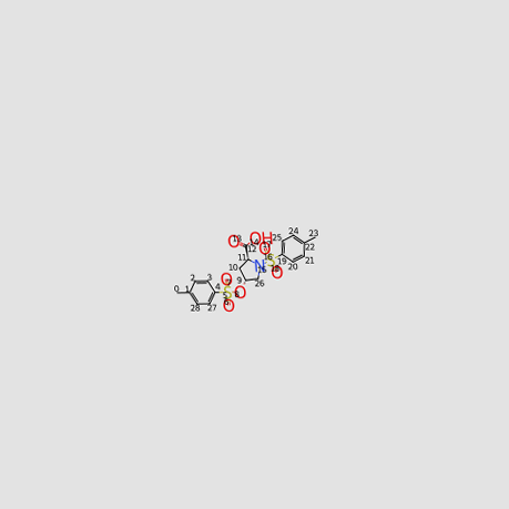 Cc1ccc(S(=O)(=O)O[C@@H]2C[C@@H](C(=O)O)N(S(=O)(=O)c3ccc(C)cc3)C2)cc1